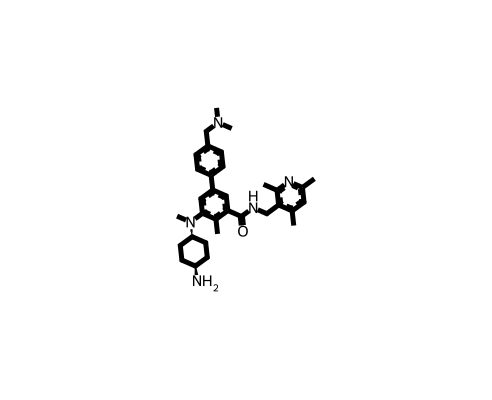 Cc1cc(C)c(CNC(=O)c2cc(-c3ccc(CN(C)C)cc3)cc(N(C)[C@H]3CC[C@H](N)CC3)c2C)c(C)n1